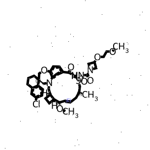 COCCOC1CN(C(=O)N[S@@]2(=O)=NC(=O)c3ccc4c(c3)N(C[C@@H]3CC[C@H]3[C@@H](OC)/C=C/C[C@H](C)C2)C[C@@]2(CCCc3cc(Cl)ccc32)CO4)C1